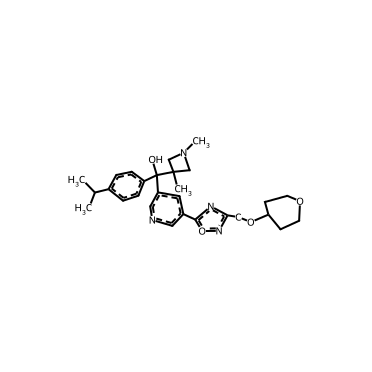 CC(C)c1ccc(C(O)(c2cncc(-c3nc(COC4CCOCC4)no3)c2)C2(C)CN(C)C2)cc1